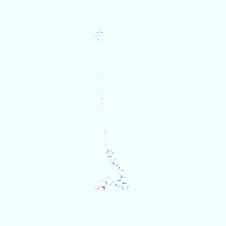 CC[C@]1(O)C(=O)OCc2c1cc1n(c2=O)Cc2c-1nc1cc(F)c(C)c3c1c2[C@H](NC(=O)C(C)(C)C(=O)N/N=C(\C)c1ccc(OCCOCCOCCOCCOCCOCCOCCOCCOCCOCCOCCOCCN=[N+]=[N-])cc1)CC3